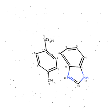 Cc1ccc(S(=O)(=O)O)cc1.c1ccc2[nH]cnc2c1